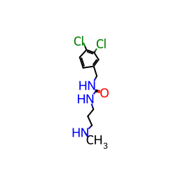 CNCCCNC(=O)NCc1ccc(Cl)c(Cl)c1